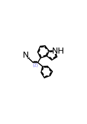 N#C/C=C(/c1ccccc1)c1cccc2[nH]ccc12